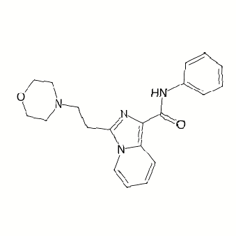 O=C(Nc1ccccc1)c1nc(CCN2CCOCC2)n2ccccc12